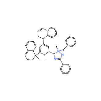 CC1C(C2(C)C=CC=C3C=CC=CC32)=CC(C2CC=Cc3ccccc32)=CC1C1N=C(c2ccccc2)N2C(c3ccccc3)[N@@+]12C